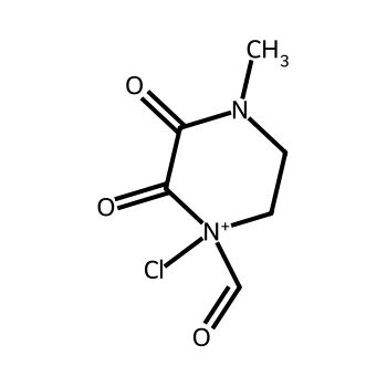 CN1CC[N+](Cl)(C=O)C(=O)C1=O